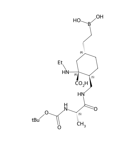 CCN[C@]1(C(=O)O)C[C@H](CCB(O)O)CC[C@H]1CNC(=O)[C@H](C)NC(=O)OC(C)(C)C